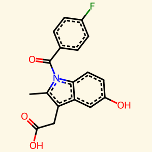 Cc1c(CC(=O)O)c2cc(O)ccc2n1C(=O)c1ccc(F)cc1